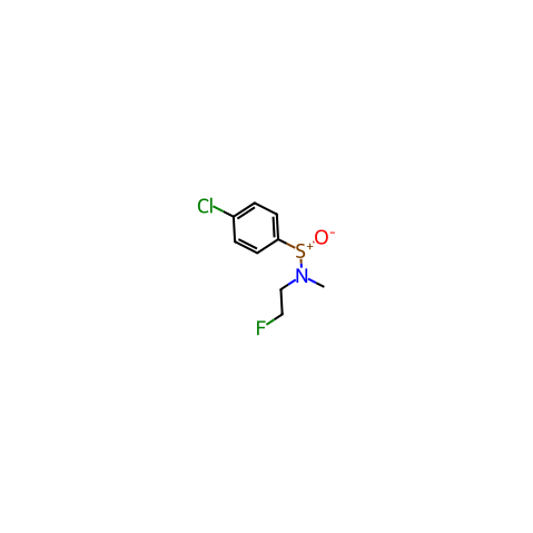 CN(CCF)[S+]([O-])c1ccc(Cl)cc1